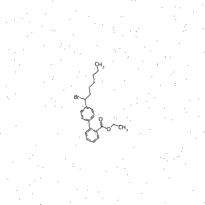 CCCCCCC(Br)c1ccc(-c2ccccc2C(=O)OCC)cc1